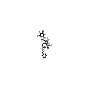 CC(OCc1ccccc1)[C@H]1CCc2c(cn(C)c2C(=O)Nc2cc(F)c(F)c(F)c2)S(=N)(=O)N1